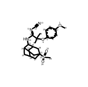 COc1ccc(OC(C)(C)/C(=N\C#N)NC2C3CC4CC2CC(S(C)(=O)=O)(C4)C3)cc1